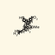 COC(=O)CCC(=O)N(C(=O)[C@@H]1CCCN1C(=O)[C@@H](N)CCCNC(=N)N)[C@@H](Cc1ccc(O)cc1)C(=O)Nc1ccc([N+](=O)[O-])cc1